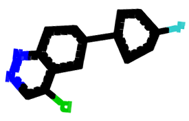 Fc1ccc(-c2ccc3nncc(Cl)c3c2)cc1